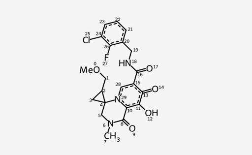 COCC1CC12CN(C)C(=O)c1c(O)c(=O)c(C(=O)NCc3cccc(Cl)c3F)cn12